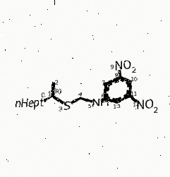 CCCCCCC[C@@H](C)SCNc1cc([N+](=O)[O-])cc([N+](=O)[O-])c1